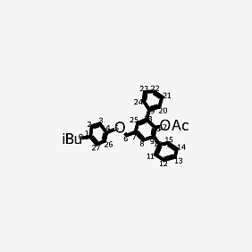 CCC(C)c1ccc(OCc2cc(-c3ccccc3)c(OC(C)=O)c(-c3ccccc3)c2)cc1